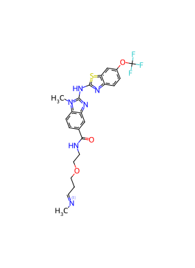 C/N=C/CCOCCNC(=O)c1ccc2c(c1)nc(Nc1nc3ccc(OC(F)(F)F)cc3s1)n2C